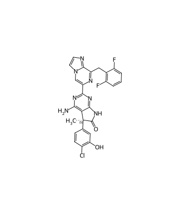 C[C@@]1(c2ccc(Cl)c(O)c2)C(=O)Nc2nc(-c3cn4ccnc4c(Cc4c(F)cccc4F)n3)nc(N)c21